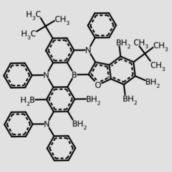 Bc1c(B)c(N(c2ccccc2)c2ccccc2)c(B)c2c1B1c3oc4c(B)c(B)c(C(C)(C)C)c(B)c4c3N(c3ccccc3)c3cc(C(C)(C)C)cc(c31)N2c1ccccc1